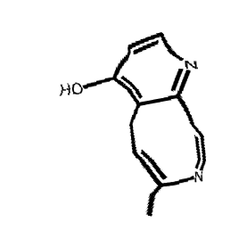 Cc1cc2c(O)ccnc2cn1